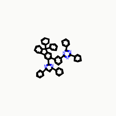 C1=CCCC(C2(c3ccccc3)c3ccccc3-c3cc(-c4nc(-c5ccccc5)cc(-c5ccccc5)n4)c(-c4cccc(-c5nc(-c6ccccc6)nc(-c6ccccc6)n5)c4)cc32)=C1